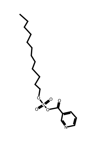 CCCCCCCCCCCCOS(=O)(=O)OC(=O)c1cccnc1